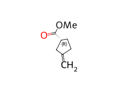 C=C1CC[C@@H](C(=O)OC)C1